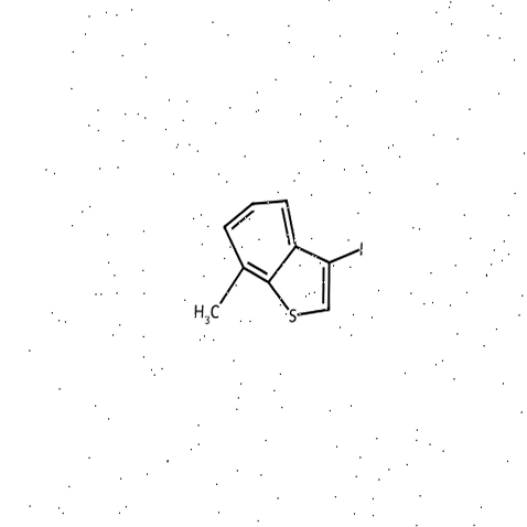 Cc1cccc2c(I)csc12